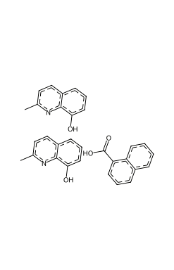 Cc1ccc2cccc(O)c2n1.Cc1ccc2cccc(O)c2n1.O=C(O)c1cccc2ccccc12